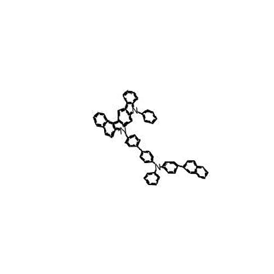 c1ccc(N(c2ccc(-c3ccc(-n4c5cc6c(cc5c5c7ccccc7ccc54)c4ccccc4n6-c4ccccc4)cc3)cc2)c2ccc(-c3ccc4ccccc4c3)cc2)cc1